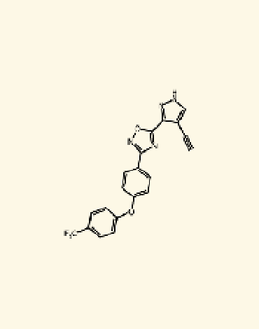 C#Cc1c[nH]nc1-c1nc(-c2ccc(Oc3ccc(C(F)(F)F)cc3)cc2)no1